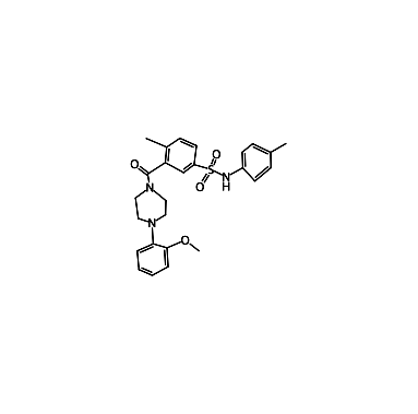 COc1ccccc1N1CCN(C(=O)c2cc(S(=O)(=O)Nc3ccc(C)cc3)ccc2C)CC1